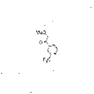 COCC(=O)c1cccc(C(F)(F)F)c1